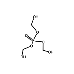 O=P(OCO)(OCO)OCO